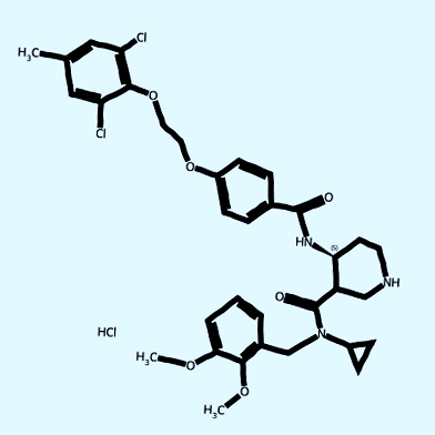 COc1cccc(CN(C(=O)C2CNCC[C@@H]2NC(=O)c2ccc(OCCOc3c(Cl)cc(C)cc3Cl)cc2)C2CC2)c1OC.Cl